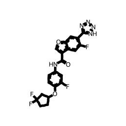 O=C(Nc1ccc(OC2CCC(F)(F)C2)c(F)c1)c1coc2cc(-c3nnn[nH]3)c(F)cc12